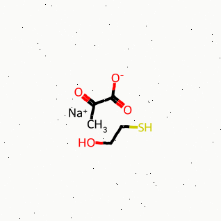 CC(=O)C(=O)[O-].OCCS.[Na+]